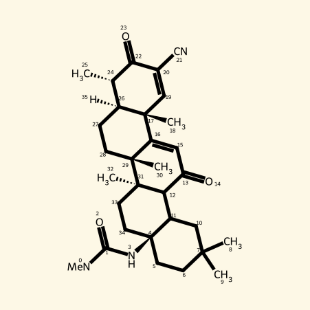 CNC(=O)N[C@]12CCC(C)(C)CC1C1C(=O)C=C3[C@@]4(C)C=C(C#N)C(=O)[C@@H](C)[C@@H]4CC[C@@]3(C)[C@]1(C)CC2